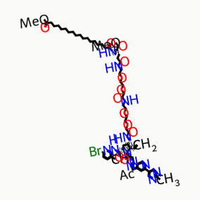 C=C[C@@H]1[C@@H](CNC(=O)COCCOCCNC(=O)COCCOCCNC(=O)CC[C@H](NC(=O)CCCCCCCCCCCCCCCCC(=O)OC)C(=O)OC)C[C@@H](C(=O)Nc2nc(Br)ccc2C)N1C(=O)Cn1nc(C(C)=O)c2cc(-c3cnc(C)nc3)ncc21